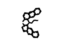 CCCC(c1c(C)ccc2cc3ccccc3cc12)c1c(C)ccc2cc3ccccc3cc12